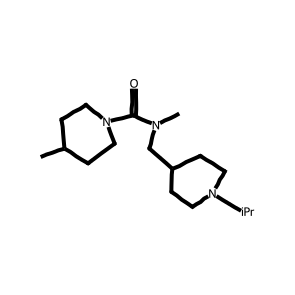 CC1CCN(C(=O)N(C)CC2CCN(C(C)C)CC2)CC1